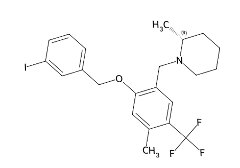 Cc1cc(OCc2cccc(I)c2)c(CN2CCCC[C@H]2C)cc1C(F)(F)F